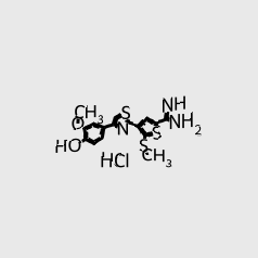 COc1cc(-c2csc(-c3cc(C(=N)N)sc3SC)n2)ccc1O.Cl